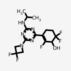 CC(C)Nc1nc(C2=C(F)C(O)C(F)(F)CC2)nc(N2CC(F)(F)C2)n1